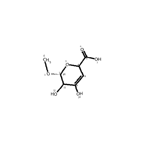 CO[C@@H]1OC(C(=O)O)C=C(O)C1O